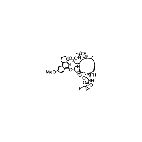 CC[C@@H]1C[C@@H](C)CC/C=C\[C@@H]2C[C@@]2(C(=O)NS(=O)(=O)C2(CF)CC2)NC(=O)[C@@H]2C[C@@H](Oc3nc4c(c5cc(OC)ccc35)CCCO4)CN2C(=O)[C@H]1N(C(=O)O)C(C)(C)C(F)(F)F